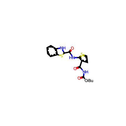 CC(C)COC(=O)NC(=O)c1ccsc1NC(=O)C1Nc2ccccc2S1